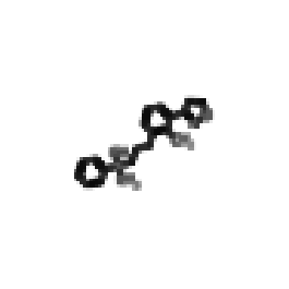 Cc1c(CCC[Si](C)(C)c2ccccc2)cccc1-c1ccon1